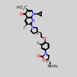 CC(=O)NC[C@H]1CN(c2ccc(OCC[C@H]3CCN(c4nc5c(cc4F)c(=O)c(C(=O)O)cn5C4CC4)C3)c(F)c2)C(=O)O1